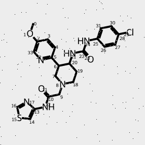 COc1ccc(C2CN(CC(=O)Nc3cscn3)CCC2NC(=O)Nc2ccc(Cl)cc2)nc1